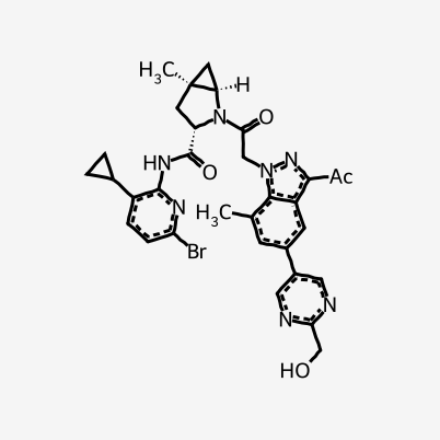 CC(=O)c1nn(CC(=O)N2[C@H](C(=O)Nc3nc(Br)ccc3C3CC3)C[C@@]3(C)C[C@@H]23)c2c(C)cc(-c3cnc(CO)nc3)cc12